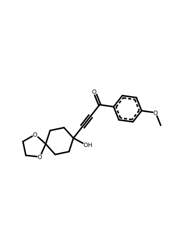 COc1ccc(C(=O)C#CC2(O)CCC3(CC2)OCCO3)cc1